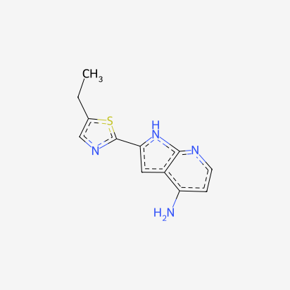 CCc1cnc(-c2cc3c(N)ccnc3[nH]2)s1